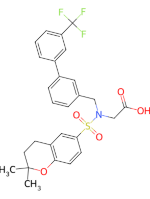 CC1(C)CCc2cc(S(=O)(=O)N(CC(=O)O)Cc3cccc(-c4cccc(C(F)(F)F)c4)c3)ccc2O1